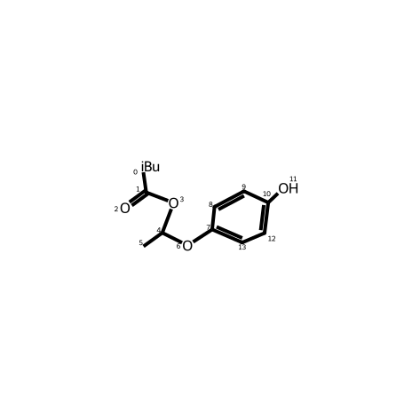 CCC(C)C(=O)OC(C)Oc1ccc(O)cc1